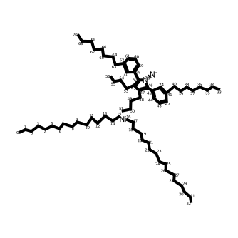 CCCCCCCCCCCCCCC[CH2][Ni][CH2]CCCCCCCCCCCCCCC.CCCCCCCCc1cccc(C2=C(CCCC)C(CCCC)=C(c3cccc(CCCCCCCC)c3)[N+]2=[N-])c1